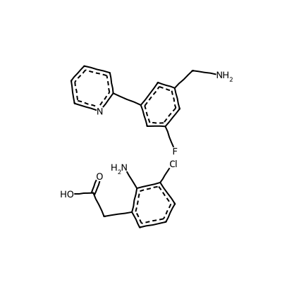 NCc1cc(F)cc(-c2ccccn2)c1.Nc1c(Cl)cccc1CC(=O)O